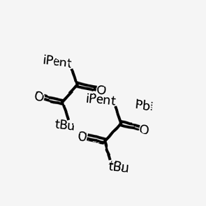 CCCC(C)C(=O)C(=O)C(C)(C)C.CCCC(C)C(=O)C(=O)C(C)(C)C.[Pb]